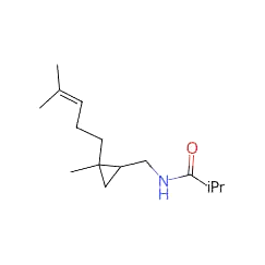 CC(C)=CCCC1(C)CC1CNC(=O)C(C)C